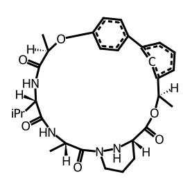 CC(C)[C@@H]1NC(=O)[C@@H](C)Oc2ccc(cc2)-c2cccc(c2)[C@@H](C)OC(=O)[C@@H]2CCCN(N2)C(=O)[C@H](C)NC1=O